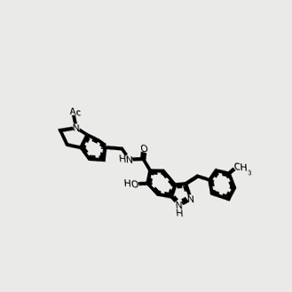 CC(=O)N1CCc2ccc(CNC(=O)c3cc4c(Cc5cccc(C)c5)n[nH]c4cc3O)cc21